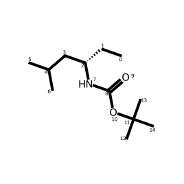 CC[C@@H](CC(C)C)NC(=O)OC(C)(C)C